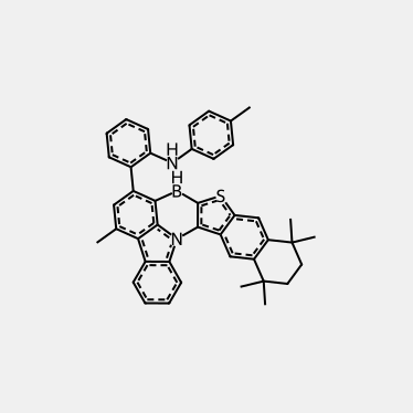 Cc1ccc(Nc2ccccc2-c2cc(C)c3c4ccccc4n4c3c2Bc2sc3cc5c(cc3c2-4)C(C)(C)CCC5(C)C)cc1